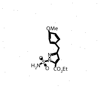 CCOC(=O)c1cc(Cc2ccc(OC)cc2)nn1S(N)(=O)=O